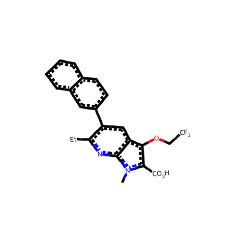 CCc1nc2c(cc1-c1ccc3ccccc3c1)c(OCC(F)(F)F)c(C(=O)O)n2C